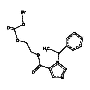 CC(C)OC(=O)OCCOC(=O)c1cncn1C(C)c1ccccc1